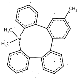 Cc1ccc2c(c1)-c1ccccc1[Si](C)(C)c1ccccc1-c1ccccc1-2